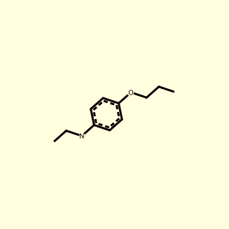 CCCOc1ccc([N]CC)cc1